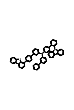 c1ccc(-c2cccc(N(c3ccc(-c4ccccc4-n4c5ccccc5c5ccccc54)cc3)c3cccc(-c4ccc(-c5cccc6c5oc5ccccc56)cc4)c3)c2)cc1